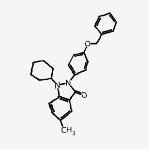 Cc1ccc2c(c1)c(=O)n(-c1ccc(OCc3ccccc3)cc1)n2C1CCCCC1